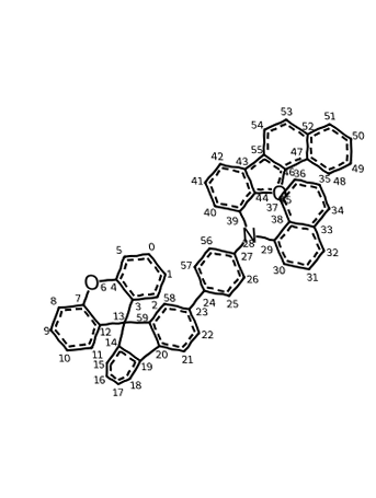 c1ccc2c(c1)Oc1ccccc1C21c2ccccc2-c2ccc(-c3ccc(N(c4cccc5ccccc45)c4cccc5c4oc4c6ccccc6ccc54)cc3)cc21